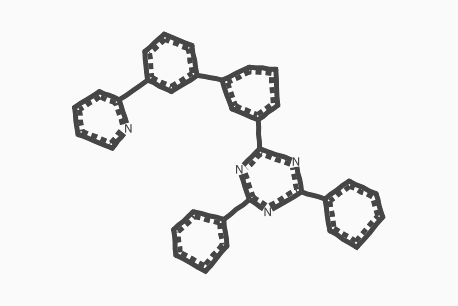 c1ccc(-c2nc(-c3ccccc3)nc(-c3cccc(-c4cccc(-c5ccccn5)c4)c3)n2)cc1